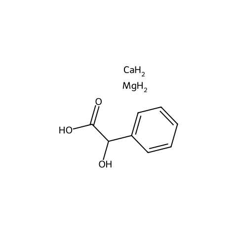 O=C(O)C(O)c1ccccc1.[CaH2].[MgH2]